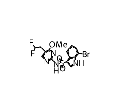 COc1nc(NS(=O)(=O)c2c[nH]c3c(Br)cccc23)ncc1CC(F)F